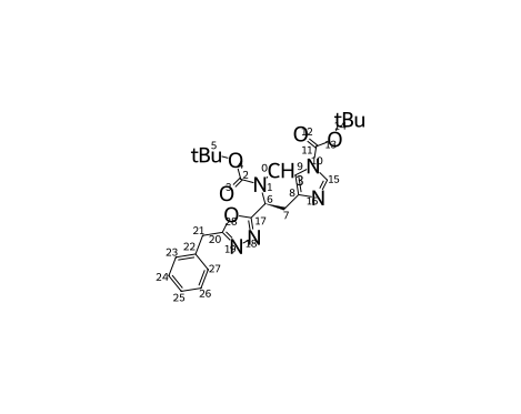 CN(C(=O)OC(C)(C)C)[C@@H](Cc1cn(C(=O)OC(C)(C)C)cn1)c1nnc(Cc2ccccc2)o1